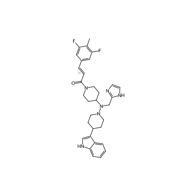 Cc1c(F)cc(/C=C/C(=O)N2CCC(N(Cc3ncc[nH]3)N3CCC(c4c[nH]c5ccccc45)CC3)CC2)cc1F